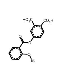 CCOc1ccccc1C(=O)Oc1ccc(C(=O)O)c(C(=O)O)c1